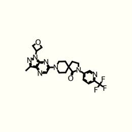 Cc1nn(C2COC2)c2nc(N3CCC4(CC3)CCN(c3ccc(C(F)(F)F)nc3)C4=O)cnc12